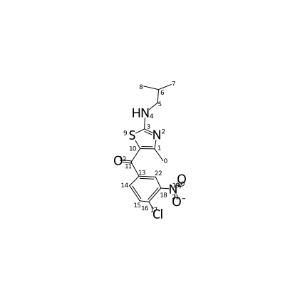 Cc1nc(NCC(C)C)sc1C(=O)c1ccc(Cl)c([N+](=O)[O-])c1